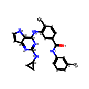 Cc1ccc(C(=O)Nc2cccc(C(F)(F)F)c2)cc1Nc1nc(NC2CC2)nc2cc[nH]c12